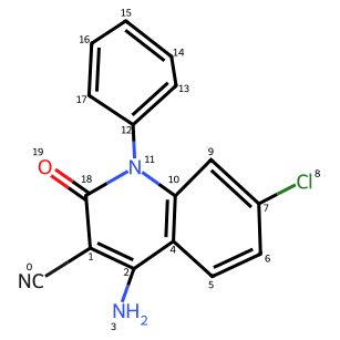 N#Cc1c(N)c2ccc(Cl)cc2n(-c2ccccc2)c1=O